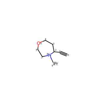 C#CC1CCOCCN1C(C)C